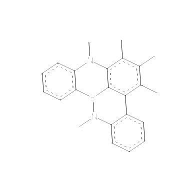 Cc1c(C)c2c3c(c1C)N(C)c1ccccc1B3N(C)c1ccccc1-2